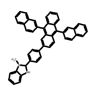 CN1c2ccccc2NC1c1ccc(-c2ccc3c(-c4ccc5ccccc5c4)c4ccccc4c(-c4ccc5ccccc5c4)c3c2)cc1